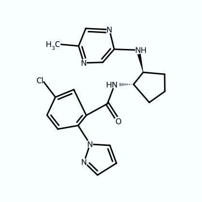 Cc1cnc(N[C@H]2CCC[C@@H]2NC(=O)c2cc(Cl)ccc2-n2cccn2)cn1